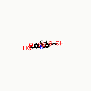 CS(=O)(=O)N(Cc1ccc(OCCCO)cc1)Cc1cccc(CC(=O)O)c1